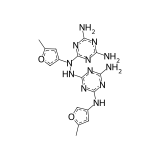 Cc1cc(Nc2nc(N)nc(NN(c3coc(C)c3)c3nc(N)nc(N)n3)n2)co1